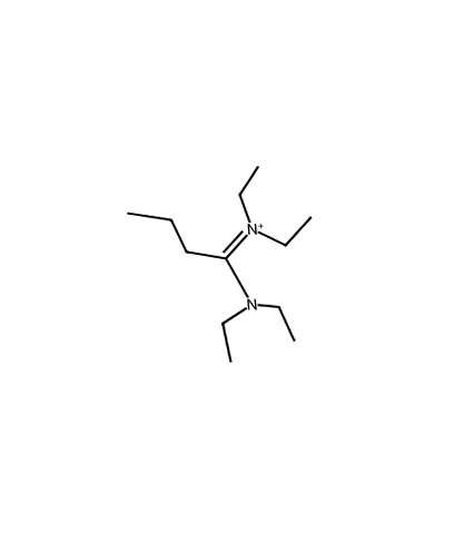 CCCC(N(CC)CC)=[N+](CC)CC